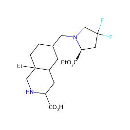 CCOC(=O)[C@@H]1CC(F)(F)CN1CC1CCC2(CC)CNC(C(=O)O)CC2C1